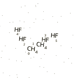 C.C.F.F.F.F